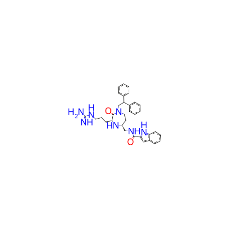 N=C(N)NCCC[C@@H]1N[C@H](CNC(=O)c2cc3ccccc3[nH]2)CCN(CC(c2ccccc2)c2ccccc2)C1=O